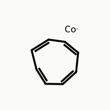 C1=CC=CC=CC=C1.[Co]